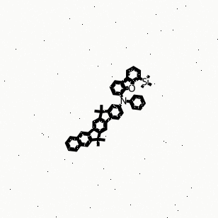 CC1(C)c2cc(N(c3ccccc3)c3cccc4c3oc3c([Si](C)(C)C)cccc34)ccc2-c2cc3c(cc21)-c1cc2ccccc2cc1C3(C)C